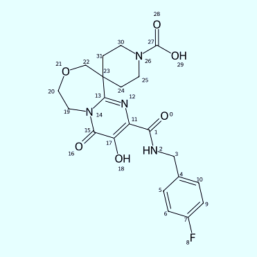 O=C(NCc1ccc(F)cc1)c1nc2n(c(=O)c1O)CCOCC21CCN(C(=O)O)CC1